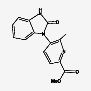 COC(=O)c1ccc(-n2c(=O)[nH]c3ccccc32)c(C)n1